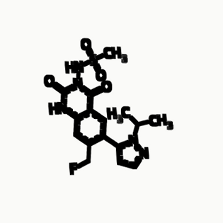 CC(C)n1nccc1-c1cc2c(=O)n(NS(C)(=O)=O)c(=O)[nH]c2cc1CF